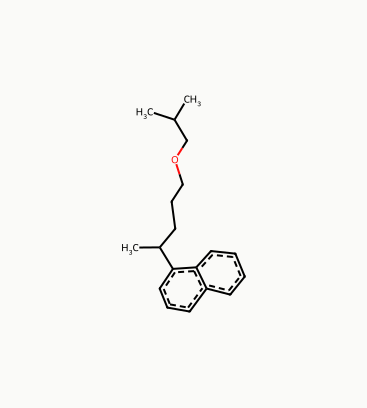 CC(C)COCCCC(C)c1cccc2ccccc12